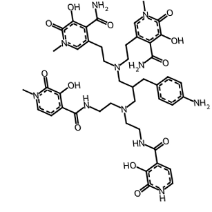 Cn1ccc(C(=O)NCCN(CCNC(=O)c2cc[nH]c(=O)c2O)CC(Cc2ccc(N)cc2)CN(CCc2cn(C)c(=O)c(O)c2C(N)=O)CCc2cn(C)c(=O)c(O)c2C(N)=O)c(O)c1=O